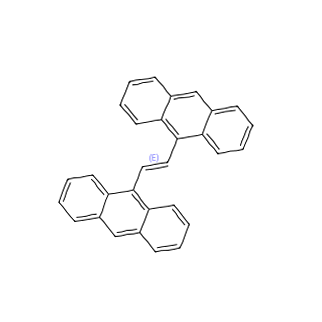 C(=C\c1c2ccccc2cc2ccccc12)/c1c2ccccc2cc2ccccc12